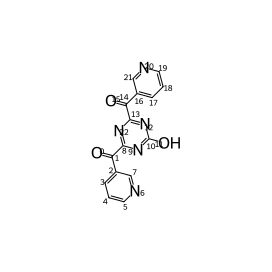 O=C(c1cccnc1)c1nc(O)nc(C(=O)c2cccnc2)n1